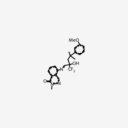 COc1cccc(C(C)(C)CC(O)(C=Nc2cccc3c(=O)n(C)ncc23)C(F)(F)F)c1